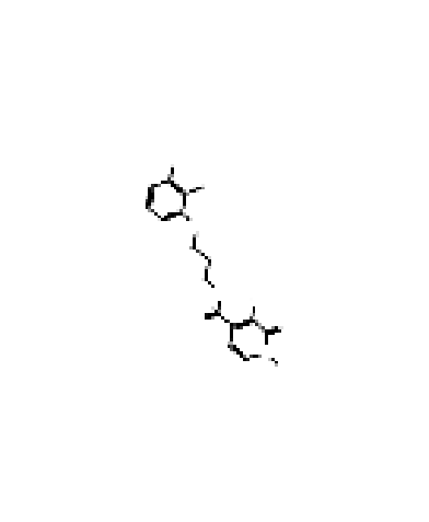 Cc1c(OCCCNC(=O)c2ccn(C)c(=O)c2O)cccc1C(=O)O